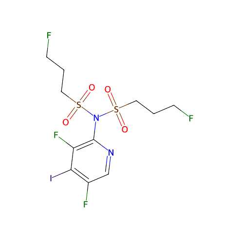 O=S(=O)(CCCF)N(c1ncc(F)c(I)c1F)S(=O)(=O)CCCF